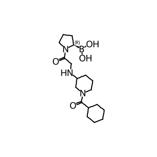 O=C(C1CCCCC1)N1CCCC(NCC(=O)N2CCC[C@H]2B(O)O)C1